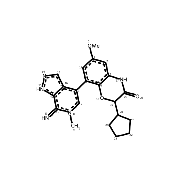 COc1cc2c(c(-c3cn(C)c(=N)c4[nH]ncc34)c1)OC(C1CCCC1)C(=O)N2